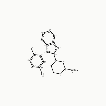 CCCCCCC1CCCC(n2nc3ccccc3n2)C1.Cc1ccc(O)cc1